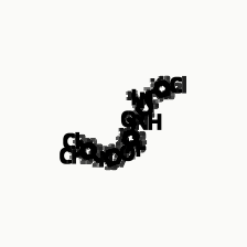 O=C(NC1CCN(Cc2ccc(Cl)cc2)C(I)C1)c1ccc(OC2CCN(Cc3ccc(Cl)c(Cl)c3)CC2)c(F)c1